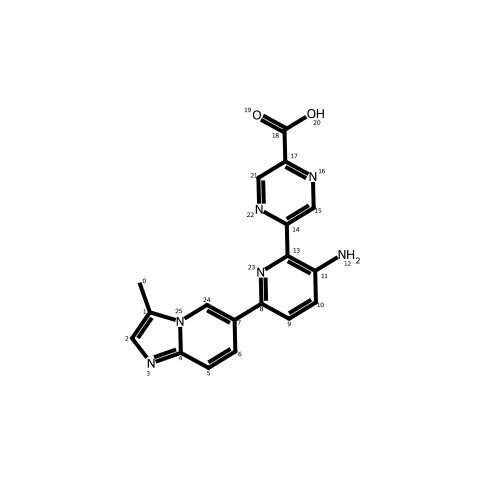 Cc1cnc2ccc(-c3ccc(N)c(-c4cnc(C(=O)O)cn4)n3)cn12